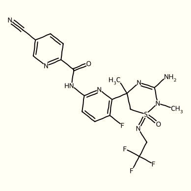 CN1C(N)=NC(C)(c2nc(NC(=O)c3ccc(C#N)cn3)ccc2F)CS1(=O)=NCC(F)(F)F